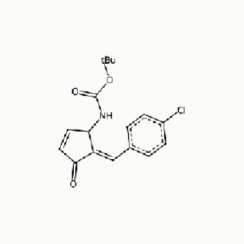 CC(C)(C)OC(=O)NC1C=CC(=O)/C1=C/c1ccc(Cl)cc1